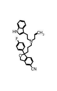 C=CCN(CCCC1(c2ccc(F)cc2)OCc2cc(C#N)ccc21)CCc1c[nH]c2ccccc12